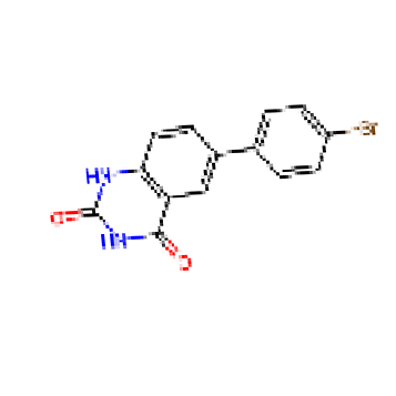 O=c1[nH]c(=O)c2cc(-c3ccc(Br)cc3)ccc2[nH]1